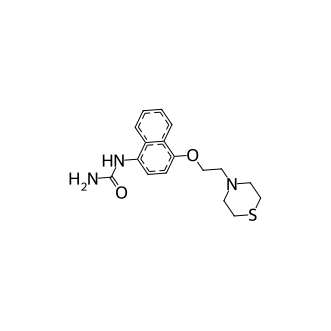 NC(=O)Nc1ccc(OCCN2CCSCC2)c2ccccc12